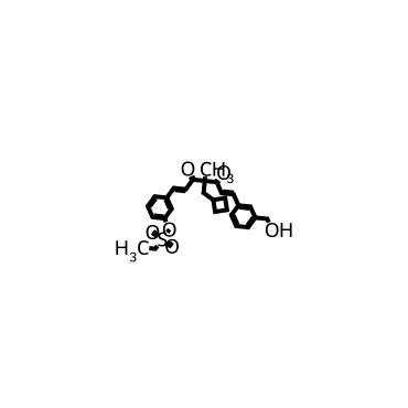 CCS(=O)(=O)Oc1cccc(/C=C/C(=O)C(C)(CC2CCC2)C(=O)/C=C/c2cccc(CO)c2)c1